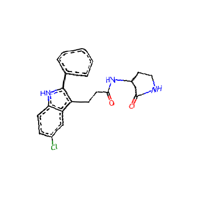 O=C(CCc1c(-c2ccccc2)[nH]c2ccc(Cl)cc12)NC1CCNC1=O